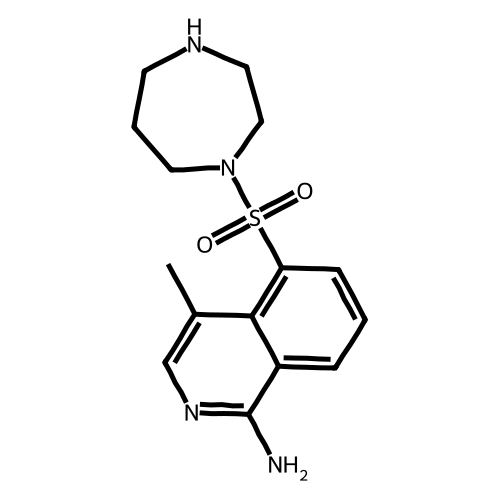 Cc1cnc(N)c2cccc(S(=O)(=O)N3CCCNCC3)c12